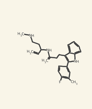 C=CC(CCNC)NC(=C)CCc1c(-c2ccc(F)c(C)c2)[nH]c2ccccc12